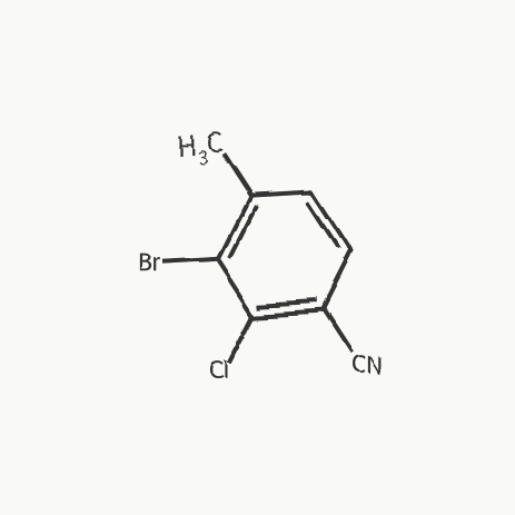 Cc1ccc(C#N)c(Cl)c1Br